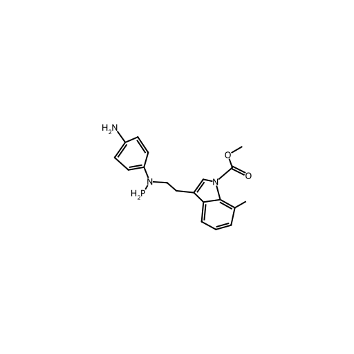 COC(=O)n1cc(CCN(P)c2ccc(N)cc2)c2cccc(C)c21